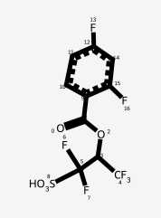 O=C(OC(C(F)(F)F)C(F)(F)S(=O)(=O)O)c1ccc(F)cc1F